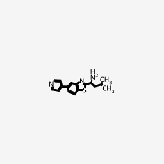 CC(C)C[C@H](N)c1nc2cc(-c3ccncc3)ccc2s1